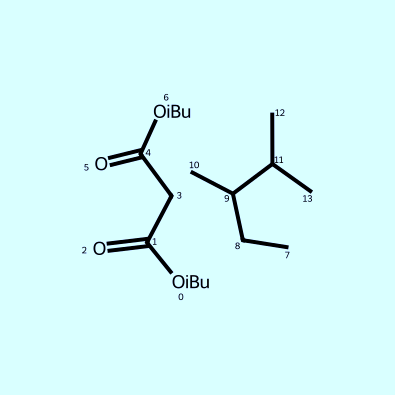 CC(C)COC(=O)CC(=O)OCC(C)C.CCC(C)C(C)C